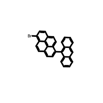 Brc1ccc2ccc3c(-c4c5ccccc5cc5ccccc45)ccc4ccc1c2c43